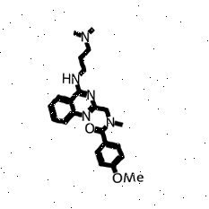 COc1ccc(C(=O)N(C)Cc2nc(NCCCN(C)C)c3ccccc3n2)cc1